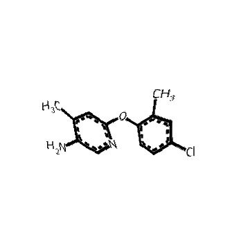 Cc1cc(Oc2ccc(Cl)cc2C)ncc1N